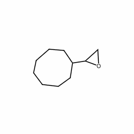 C1CCCC(C2CO2)CCC1